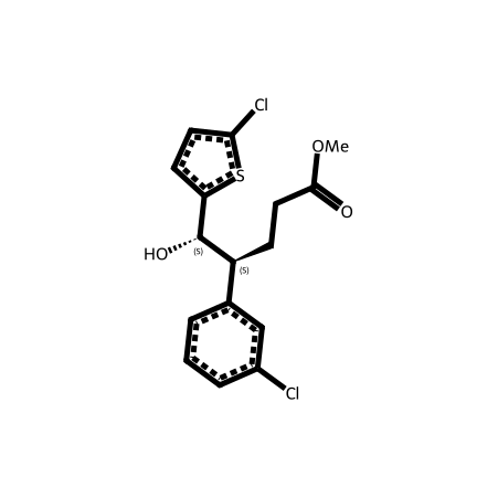 COC(=O)CC[C@@H](c1cccc(Cl)c1)[C@H](O)c1ccc(Cl)s1